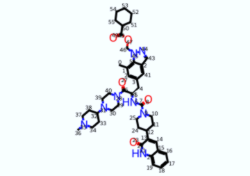 Cc1cc(C[C@@H](NC(=O)N2CCC(c3cc4ccccc4[nH]c3=O)CC2)C(=O)N2CCN(C3CCN(C)CC3)CC2)cc2cnn(COC(=O)C3CCCCC3)c12